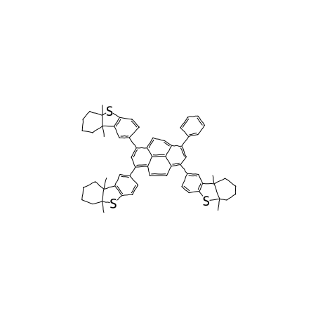 CC12CCCCC1(C)c1cc(-c3cc(-c4ccccc4)c4ccc5c(-c6ccc7c(c6)C6(C)CCCCC6(C)S7)cc(-c6ccc7c(c6)C6(C)CCCCC6(C)S7)c6ccc3c4c56)ccc1S2